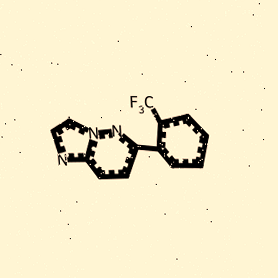 FC(F)(F)c1ccccc1-c1ccc2nc[c]n2n1